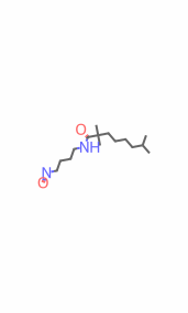 CC(C)CCCCC(C)(C)C(=O)NCCCCN=O